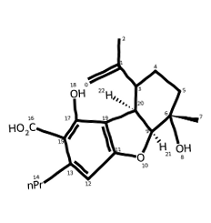 C=C(C)C1CC[C@](C)(O)[C@H]2Oc3cc(CCC)c(C(=O)O)c(O)c3[C@@H]12